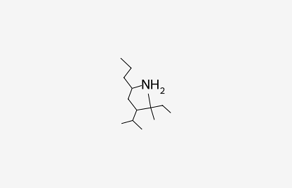 CCCC(N)CC(C(C)C)C(C)(C)CC